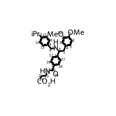 COc1ccc(CC(NCc2ccc(C(C)C)cc2)c2ccc(C(=O)NCCC(=O)O)cc2)cc1OC